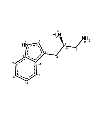 NC[C@H](N)Cc1c[nH]c2ccccc12